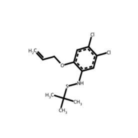 C=CCOc1cc(Cl)c(Cl)cc1NSC(C)(C)C